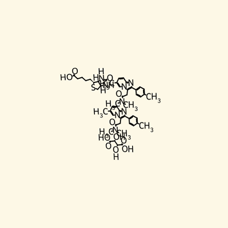 Cc1ccc(-c2nc3ccc(C)cn3c2CC(=O)N(C)C)cc1.Cc1ccc(-c2nc3ccc(C)cn3c2CC(=O)N(C)C)cc1.O=C(O)C(O)C(O)C(=O)O.O=C(O)CCCC[C@@H]1SC[C@@H]2NC(=O)N[C@@H]21